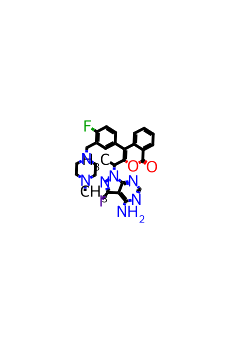 CC(c1oc(=O)c2ccccc2c1-c1ccc(F)c(CN2CCN(C)CC2)c1)n1nc(I)c2c(N)ncnc21